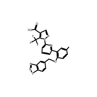 Cc1ccc(OCc2ccc3snnc3c2)c(-c2cccc(-n3ncc(C(=O)O)c3C(F)(F)F)n2)c1